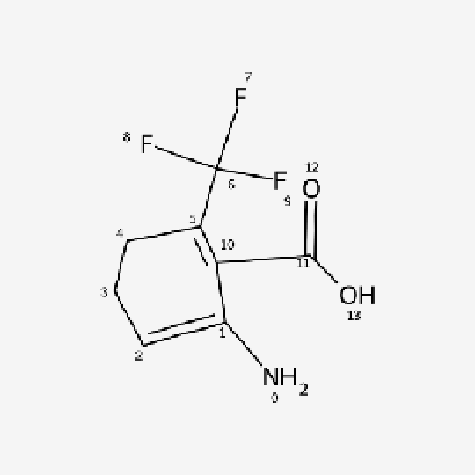 NC1=CCCC(C(F)(F)F)=C1C(=O)O